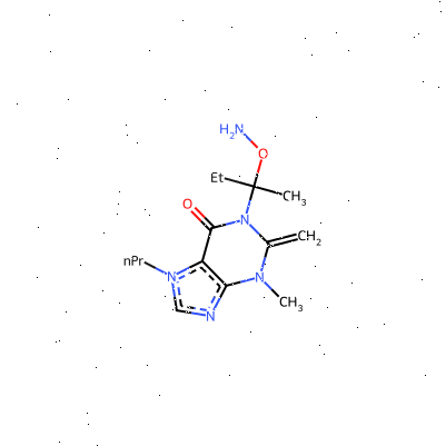 C=C1N(C)c2ncn(CCC)c2C(=O)N1C(C)(CC)ON